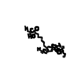 CNc1cc(C)c(CCCCCCC(O)C(C)=O)cc1C